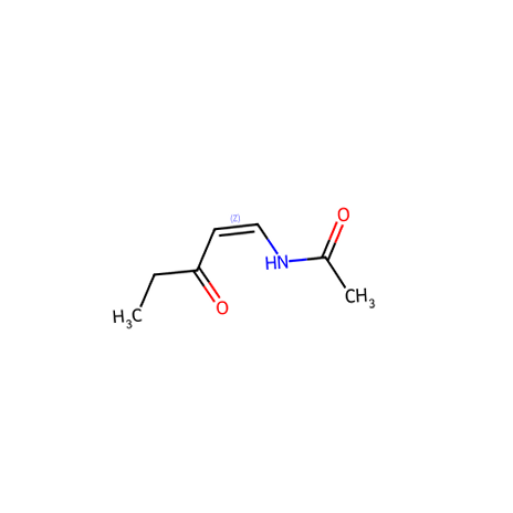 CCC(=O)/C=C\NC(C)=O